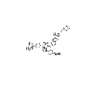 COC1CCC([C@@H]2CCN(C(=O)[C@H]3CC[C@H]([C@H](N)CF)CC3)[C@@H]2C(=O)Nc2ccc3oc(C(=O)OCCCN4CCOCC4)cc3c2)CC1